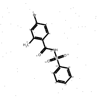 Cc1cc(Br)ccc1C(=O)NS(=O)(=O)c1ccccc1